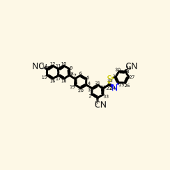 N#Cc1cc(-c2ccc(-c3ccc4cc(C#N)ccc4c3)cc2)cc(-c2nc3ccc(C#N)cc3s2)c1